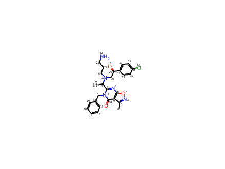 CCC(c1nc2onc(C)c2c(=O)n1Cc1ccccc1)N(CCCN)CC(=O)c1ccc(Cl)cc1